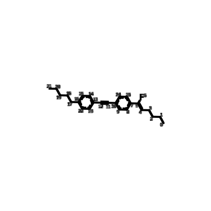 CCCCC=C(F)c1ccc(C#Cc2ccc(CCCCC)cc2)cc1